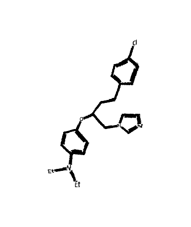 CCN(CC)c1ccc(OC(CCc2ccc(Cl)cc2)Cn2ccnc2)cc1